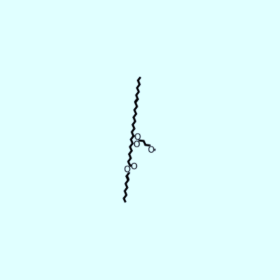 CCCCCC/C=C/CCCCCCCCC(CCCCCCCC(=O)OC/C=C/CCCCCC)OC(=O)CCCOC